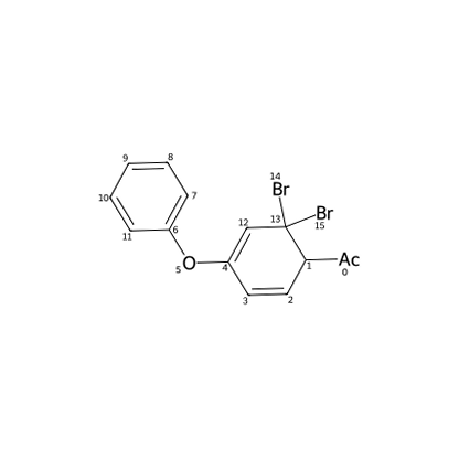 CC(=O)C1C=CC(Oc2ccccc2)=CC1(Br)Br